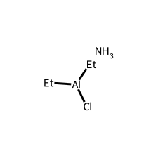 C[CH2][Al]([Cl])[CH2]C.N